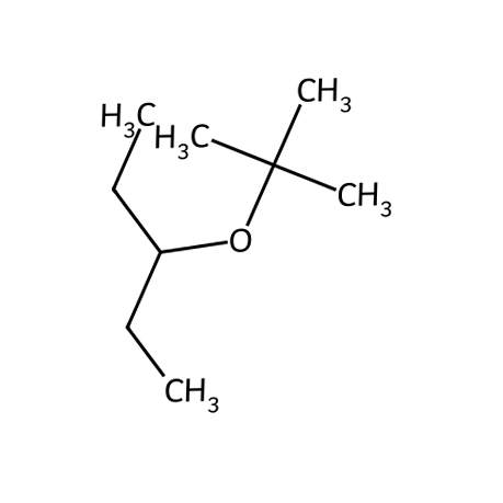 CCC(CC)OC(C)(C)C